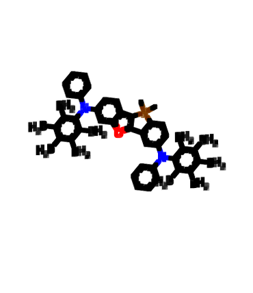 Bc1c(B)c(B)c(N(c2ccccc2)c2ccc3c(c2)-c2oc4cc(N(c5ccccc5)c5c(B)c(B)c(B)c(B)c5B)ccc4c2S3(C)C)c(B)c1B